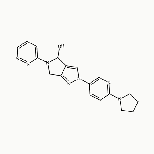 OC1c2cn(-c3ccc(N4CCCC4)nc3)nc2CN1c1cccnn1